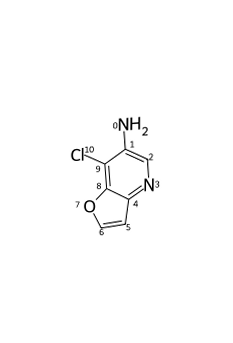 Nc1cnc2ccoc2c1Cl